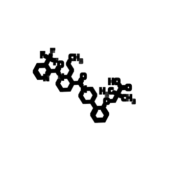 CCCC1C(C(=O)N2CCC(c3ccccc3OCC(C)(C)C(=O)O)CC2)CCCN1C(=O)c1ncccc1C(F)(F)F